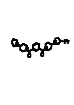 CC(C)C1CCN(C2CCN(C(=O)c3cccc(C(=O)N4CCC(N5CCCC5)CC4)c3)CC2)C1